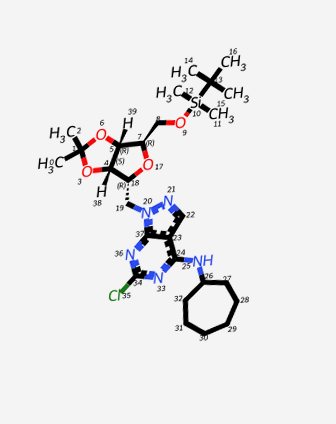 CC1(C)O[C@@H]2[C@H](O1)[C@@H](CO[Si](C)(C)C(C)(C)C)O[C@@H]2Cn1ncc2c(NC3CCCCCC3)nc(Cl)nc21